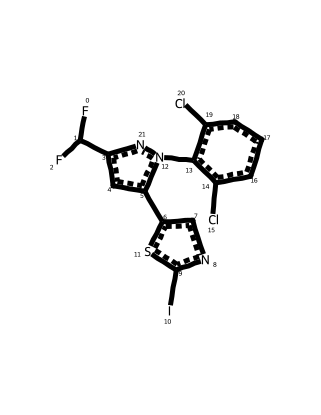 FC(F)c1cc(-c2cnc(I)s2)n(-c2c(Cl)cccc2Cl)n1